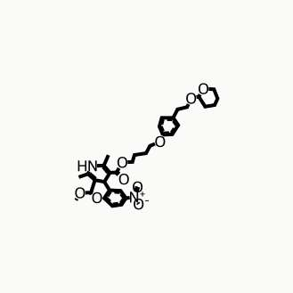 COC(=O)C1=C(C)NC(C)=C(C(=O)OCCCCOc2ccc(CCOC3CCCCO3)cc2)C1c1cccc([N+](=O)[O-])c1